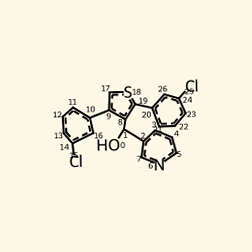 OC(c1cccnc1)c1c(-c2cccc(Cl)c2)csc1-c1cccc(Cl)c1